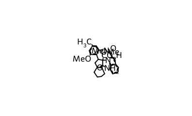 CNC(=O)c1cc2ccccc2n1C(C(N)=O)(C(=O)O)C(CC1CCCCC1)c1c(OC)cc(C)cc1OC